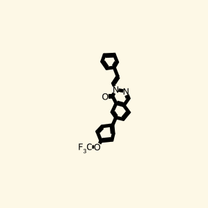 O=c1c2cc(-c3ccc(OC(F)(F)F)cc3)ccc2cnn1C=Cc1ccccc1